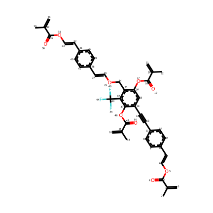 C=C(C)C(=O)O/C=C/c1ccc(C#Cc2cc(OC(=O)C(=C)C)c(CO/C=C/c3ccc(/C=C/OC(=O)C(=C)C)cc3)c(C(F)(F)F)c2OC(=O)C(=C)C)cc1